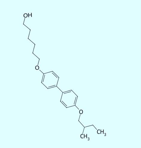 CCC(C)COc1ccc(-c2ccc(OCCCCCCO)cc2)cc1